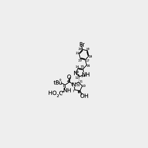 CC(C)(C)C(NC(=O)O)C(=O)N1C[C@H](O)C[C@H]1c1ncc(Cc2ccc(Br)cc2)[nH]1